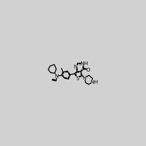 C=CN(c1ccc(-c2sc(N3CCNCC3)c3c(=O)[nH]cnc23)cc1C)C1CCCCC1